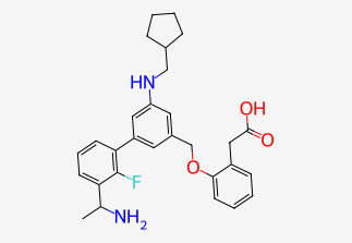 CC(N)c1cccc(-c2cc(COc3ccccc3CC(=O)O)cc(NCC3CCCC3)c2)c1F